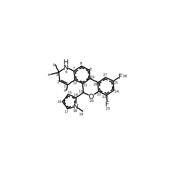 CC1=CC(C)(C)Nc2ccc3c(c21)C(c1cccn1C)Oc1c(F)cc(F)cc1-3